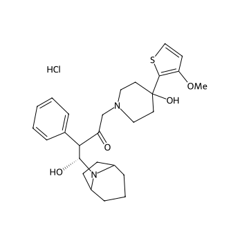 COc1ccsc1C1(O)CCN(CC(=O)C(c2ccccc2)[C@@H](O)N2C3CCCC2CC3)CC1.Cl